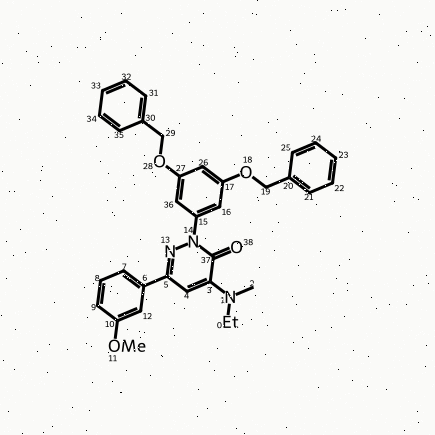 CCN(C)c1cc(-c2cccc(OC)c2)nn(-c2cc(OCc3ccccc3)cc(OCc3ccccc3)c2)c1=O